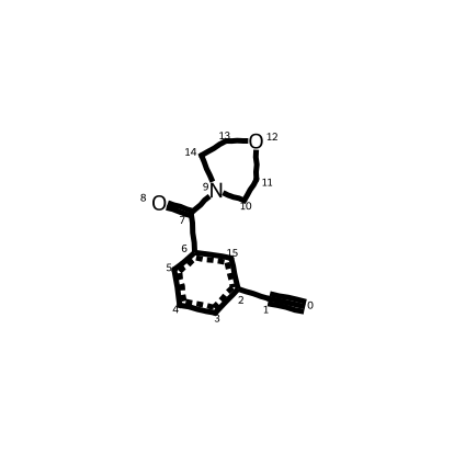 C#Cc1cccc(C(=O)N2CCOCC2)c1